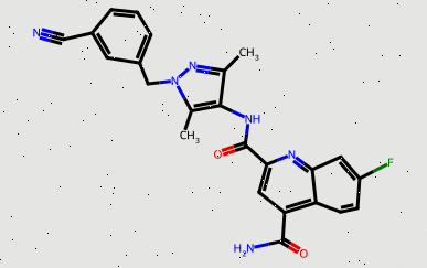 Cc1nn(Cc2cccc(C#N)c2)c(C)c1NC(=O)c1cc(C(N)=O)c2ccc(F)cc2n1